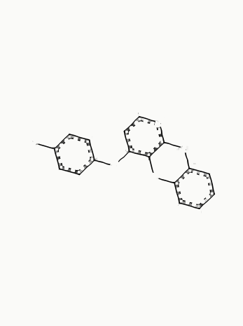 Nc1ccc(Oc2ccnc3c2Oc2ccccc2N3)cc1